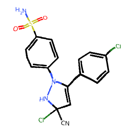 N#CC1(Cl)C=C(c2ccc(Cl)cc2)N(c2ccc(S(N)(=O)=O)cc2)N1